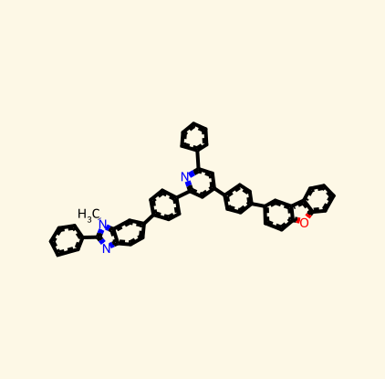 Cn1c(-c2ccccc2)nc2ccc(-c3ccc(-c4cc(-c5ccc(-c6ccc7oc8ccccc8c7c6)cc5)cc(-c5ccccc5)n4)cc3)cc21